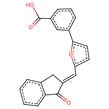 O=C(O)c1cccc(-c2ccc(/C=C3\Cc4ccccc4C3=O)o2)c1